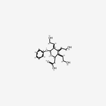 O=C(O)CC1OC(Oc2ccccc2)C(=CCO)C(=CCO)C1=CCO